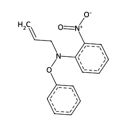 C=CCN(Oc1ccccc1)c1ccccc1[N+](=O)[O-]